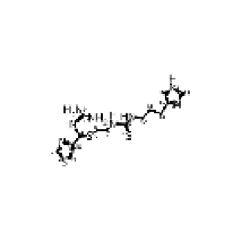 NC(N)=NC(SCCNC(=S)NCCCc1c[nH]cn1)c1cscn1